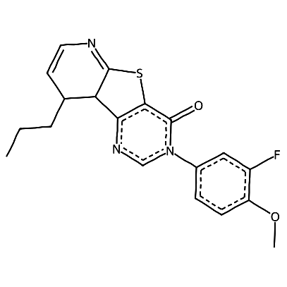 CCCC1C=CN=C2Sc3c(ncn(-c4ccc(OC)c(F)c4)c3=O)C21